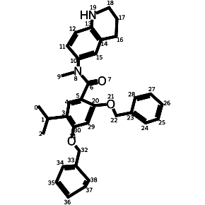 CC(C)c1cc(C(=O)N(C)c2ccc3c(c2)CCCN3)c(OCc2ccccc2)cc1OCc1ccccc1